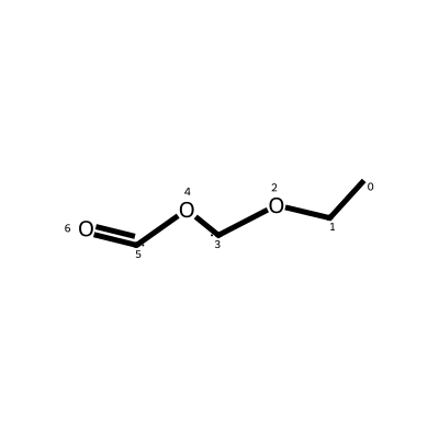 CCO[CH]O[C]=O